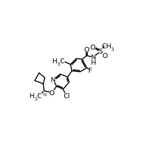 Cc1cc(C(=O)NS(C)(=O)=O)c(F)cc1-c1cnc(O[C@@H](C)C2CCC2)c(Cl)c1